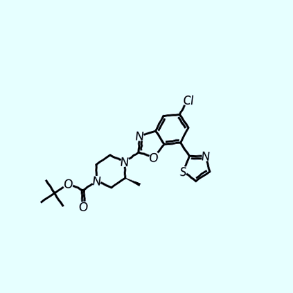 C[C@H]1CN(C(=O)OC(C)(C)C)CCN1c1nc2cc(Cl)cc(-c3nccs3)c2o1